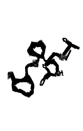 CC(=O)NCC1(c2ccccc2SCc2ccccc2Br)CNC(=O)O1